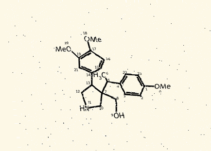 COc1ccc(C(C)C2(CO)CNCC2c2ccc(OC)c(OC)c2)cc1